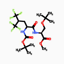 COC(=O)[C@H](COC(C)(C)C)NC(=O)C(CC(C(F)(F)F)C(F)(F)F)NC(=O)OC(C)(C)C